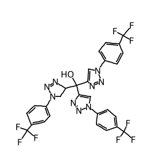 OC(c1cn(-c2ccc(C(F)(F)F)cc2)nn1)(c1cn(-c2ccc(C(F)(F)F)cc2)nn1)C1CN(c2ccc(C(F)(F)F)cc2)N=N1